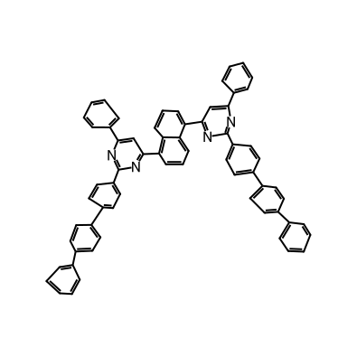 c1ccc(-c2ccc(-c3ccc(-c4nc(-c5ccccc5)cc(-c5cccc6c(-c7cc(-c8ccccc8)nc(-c8ccc(-c9ccc(-c%10ccccc%10)cc9)cc8)n7)cccc56)n4)cc3)cc2)cc1